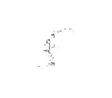 CCCCOCCOc1ccc(-c2ccc(F)c(/C(C)=C/C(=O)Nc3ccc([S+]([O-])Cc4cncn4CCC)cc3)c2)cc1